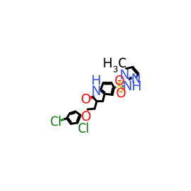 Cc1ccnc(NS(=O)(=O)c2ccc3c(c2)CC(CCOc2ccc(Cl)cc2Cl)C(=O)N3)n1